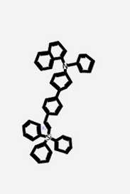 C(=C\[Si](c1ccccc1)(c1ccccc1)c1ccccc1)/c1ccc(-c2ccc(N(c3ccccc3)c3cccc4ccccc34)cc2)cc1